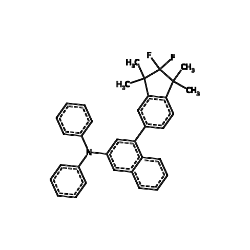 CC1(C)c2ccc(-c3cc(N(c4ccccc4)c4ccccc4)cc4ccccc34)cc2C(C)(C)C1(F)F